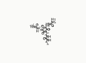 CCNC(=O)NCCn1c(=O)n(CCNC(=O)NCC)c(=O)n(CCNC(=O)NCC)c1=O